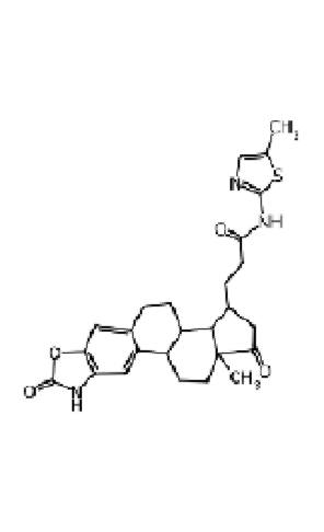 Cc1cnc(NC(=O)CCC2CC(=O)C3(C)CCC4c5cc6[nH]c(=O)oc6cc5CCC4C23)s1